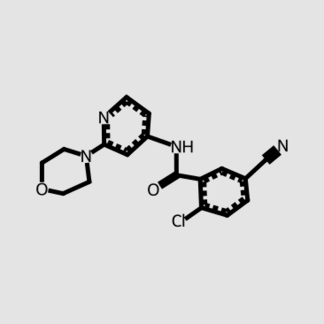 N#Cc1ccc(Cl)c(C(=O)Nc2ccnc(N3CCOCC3)c2)c1